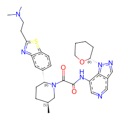 C[C@H]1CC[C@H](c2ccc3sc(CCN(C)C)nc3c2)N(C(=O)C(=O)Nc2cncc3cnn([C@H]4CCCCO4)c23)C1